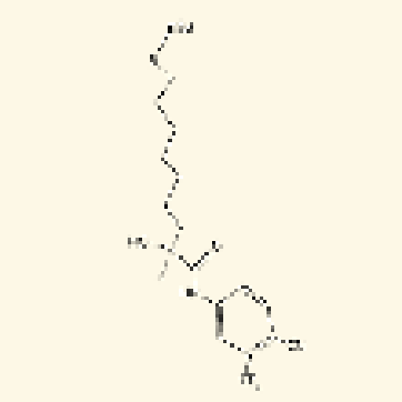 CCCCSCCCCCCC[C@](C)(O)C(=O)Nc1ccc(C#N)c(C(F)(F)F)c1